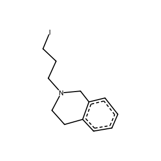 ICCCN1CCc2ccccc2C1